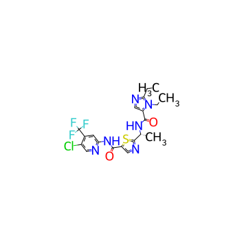 CCc1ncc(C(=O)N[C@H](C)c2ncc(C(=O)Nc3cc(C(F)(F)F)c(Cl)cn3)s2)n1CC